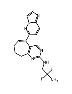 CC(F)(F)CNc1ncc2c(n1)CCCC=C2c1ccc2nccn2n1